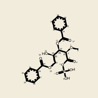 CO[C@@H](C(=O)OP(=O)(O)O)[C@H](OC(=O)c1ccccc1)[C@H](O)COC(=O)c1ccccc1